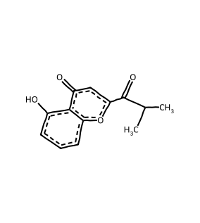 CC(C)C(=O)c1cc(=O)c2c(O)cccc2o1